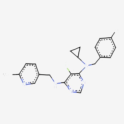 COc1ccc(CNc2ncnc(N(Cc3ccc(C(F)(F)F)cc3)C3CC3)c2F)cn1